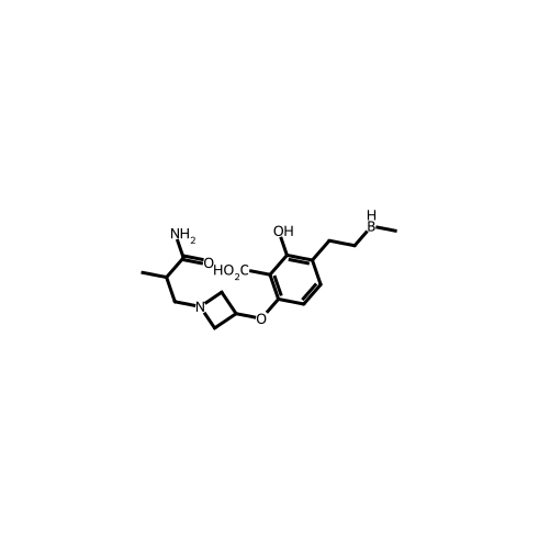 CBCCc1ccc(OC2CN(CC(C)C(N)=O)C2)c(C(=O)O)c1O